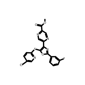 COC(=O)c1cnc(-c2nc(-c3cccc(F)c3)oc2Sc2ccc(Cl)cn2)cn1